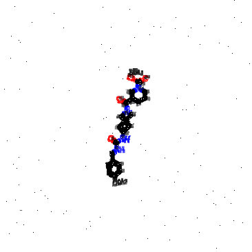 COc1ccc(CNC(=O)NC2CC3(C2)CN(C(=O)C2CCCN(C(=O)OC(C)(C)C)C2)C3)cc1